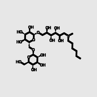 CCCCCCN(C)CC(O)[C@@H](O)[C@H](O)[C@H](O)CO[C@@H]1O[C@H](CO[C@@H]2O[C@H](CO)[C@@H](O)[C@H](O)[C@H]2O)[C@@H](O)[C@H](O)[C@H]1O